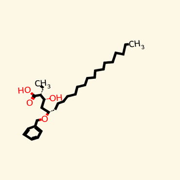 CCCCCCCCCCCCCCCCC[C@@H](C[C@@H](O)[C@@H](CC)C(=O)O)OCc1ccccc1